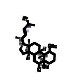 CC(=O)OC1CCC[C@]2(O)[C@@H](Cl)C=C3[C@@H]4CC[C@H]([C@H](C)/C=C/[C@H](C)C(C)C)[C@@]4(C)CC[C@@H]3[C@@]12C